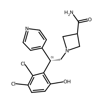 NC(=O)C1CN(C[C@@H](c2ccncc2)c2c(O)ccc(Cl)c2Cl)C1